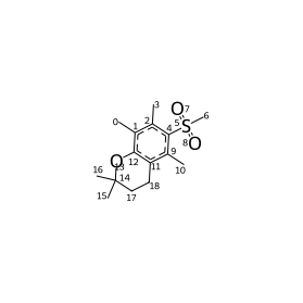 Cc1c(C)c(S(C)(=O)=O)c(C)c2c1OC(C)(C)CC2